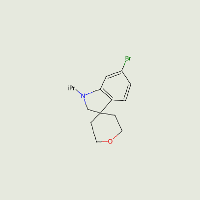 CC(C)N1CC2(CCOCC2)c2ccc(Br)cc21